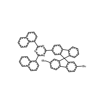 CC(C)(C)c1ccc2c(c1)C1(c3ccccc3-c3ccc(-c4nc(-c5cccc6ccccc56)nc(-c5cccc6ccccc56)n4)cc31)c1cc(C(C)(C)C)ccc1-2